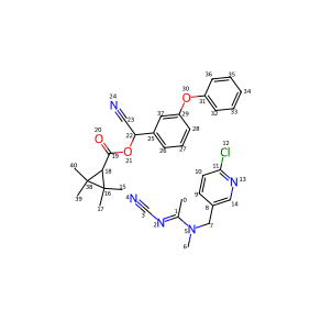 C/C(=N\C#N)N(C)Cc1ccc(Cl)nc1.CC1(C)C(C(=O)OC(C#N)c2cccc(Oc3ccccc3)c2)C1(C)C